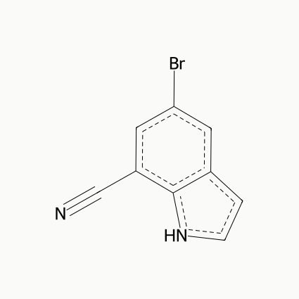 N#Cc1cc(Br)cc2cc[nH]c12